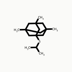 CC(C)SC12CC3(C)CC(C)(CC(C)(C3)C1)C2